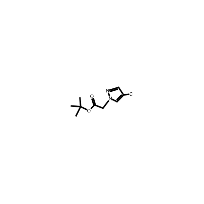 CC(C)(C)OC(=O)Cn1cc(Cl)cn1